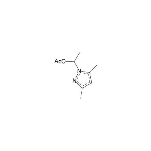 CC(=O)OC(C)n1nc(C)cc1C